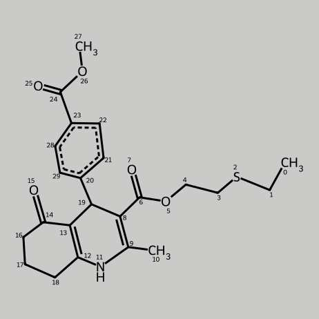 CCSCCOC(=O)C1=C(C)NC2=C(C(=O)CCC2)C1c1ccc(C(=O)OC)cc1